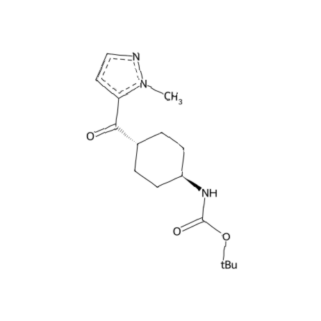 Cn1nccc1C(=O)[C@H]1CC[C@H](NC(=O)OC(C)(C)C)CC1